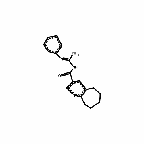 NC(=Nc1ccccc1)NC(=O)c1cnc2c(c1)CCCCC2